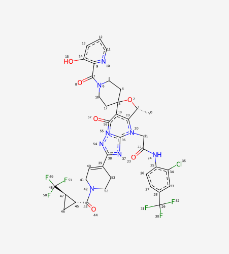 C[C@H]1OC2(CCN(C(=O)c3ncccc3O)CC2)c2c1n(CC(=O)Nc1ccc(C(F)(F)F)cc1Cl)c1nc(C3=CCN(C(=O)[C@@H]4C[C@H]4C(F)(F)F)CC3)nn1c2=O